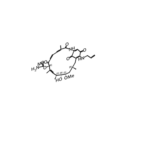 C=CCNC1=C2C[C@@H](C)C[C@H](OC)[C@H](O)[C@@H](C)C=C(C)[C@@H](OC(N)=O)[C@@H](OC)C=CC=C(C)C(=O)NC(=CC1=O)C2=O